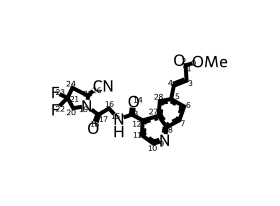 COC(=O)/C=C/c1ccc2nccc(C(=O)NCC(=O)N3CC(F)(F)CC3C#N)c2c1